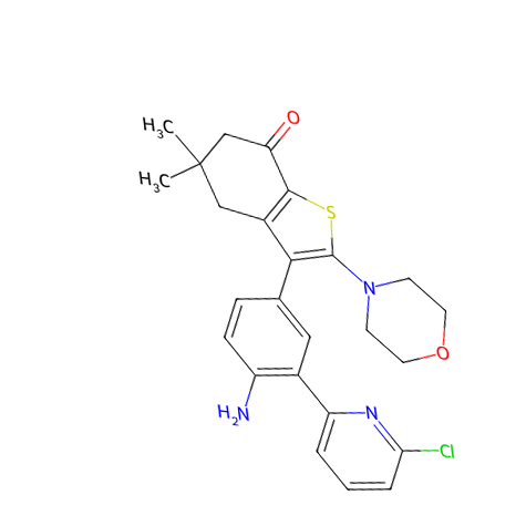 CC1(C)CC(=O)c2sc(N3CCOCC3)c(-c3ccc(N)c(-c4cccc(Cl)n4)c3)c2C1